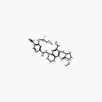 COC[C@@H](C)Oc1cc(NCN2CCCc3cc(CN4CC[C@H](OC)C4=O)c(C=O)nc32)ncc1C#N